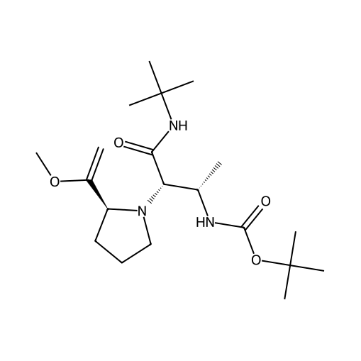 C=C(OC)[C@@H]1CCCN1[C@H](C(=O)NC(C)(C)C)[C@H](C)NC(=O)OC(C)(C)C